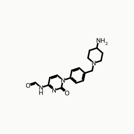 NC1CCN(Cc2ccc(-n3ccc(NC=O)nc3=O)cc2)CC1